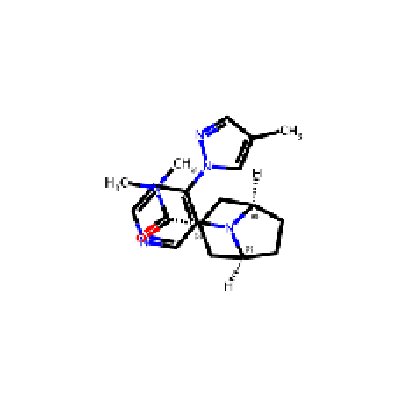 Cc1cnn(-c2ccncc2N2[C@@H]3CC[C@H]2C[C@H](C(=O)N(C)C)C3)c1